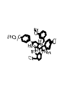 CCOC(=O)c1ccc([C@@H]2C[C@H]3[C@@H](N2)[C@H](c2cccc(Cl)c2F)[C@]2(C(=O)Nc4cc(Cl)ccc42)N3Cc2cccc(OCC)c2)cc1